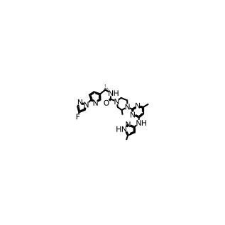 Cc1cc(Nc2cc(C)[nH]n2)nc(N2CCN(C(=O)N[C@@H](C)c3ccc(-n4cc(F)cn4)nc3)CC2C)n1